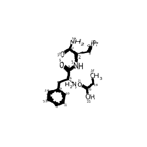 CC(C)C[C@@H](NC(=O)[C@H](N)Cc1ccccc1)C(N)=O.CCC(=O)O